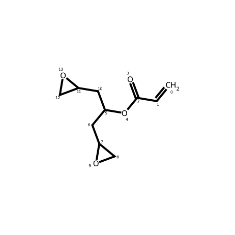 C=CC(=O)OC(CC1CO1)CC1CO1